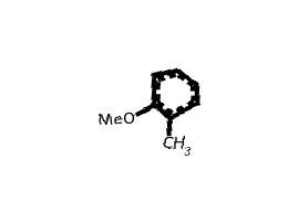 [CH2]Oc1ccccc1C